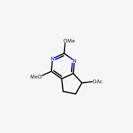 COc1nc(OC)c2c(n1)C(OC(C)=O)CC2